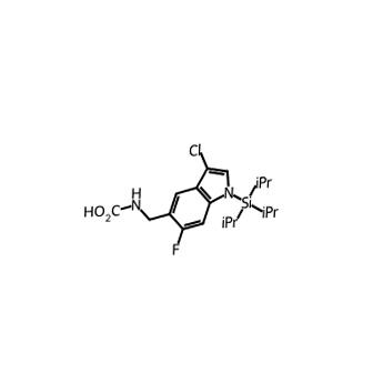 CC(C)[Si](C(C)C)(C(C)C)n1cc(Cl)c2cc(CNC(=O)O)c(F)cc21